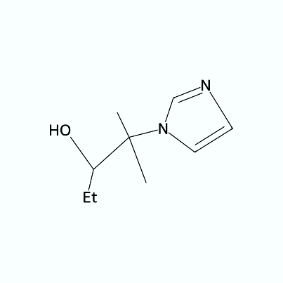 CCC(O)C(C)(C)n1ccnc1